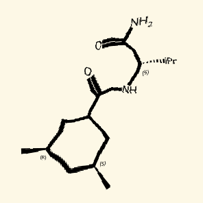 CC(C)[C@H](NC(=O)C1C[C@@H](C)C[C@@H](C)C1)C(N)=O